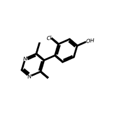 Cc1ncnc(C)c1-c1ccc(O)cc1Cl